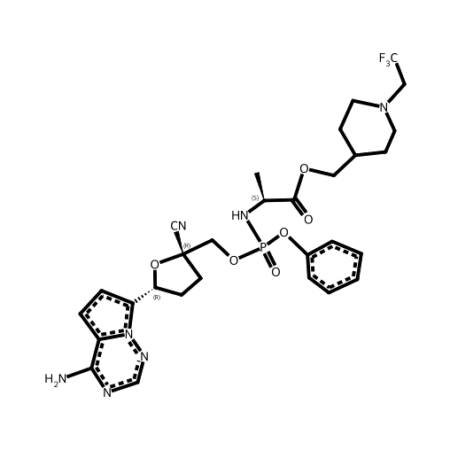 C[C@H](NP(=O)(OC[C@]1(C#N)CC[C@H](c2ccc3c(N)ncnn23)O1)Oc1ccccc1)C(=O)OCC1CCN(CC(F)(F)F)CC1